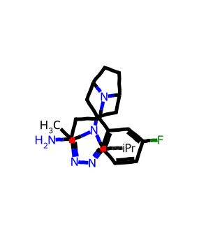 Cc1nnc(C(C)C)n1C1CC2CCC(C1)N2C(CCN)c1cccc(F)c1